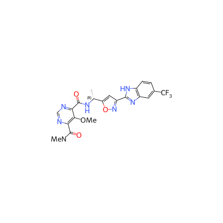 CNC(=O)c1ncnc(C(=O)N[C@H](C)c2cc(-c3nc4cc(C(F)(F)F)ccc4[nH]3)no2)c1OC